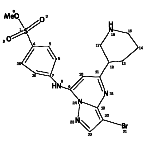 COS(=O)(=O)c1ccc(Nc2cc(C3CCCNC3)nc3c(Br)cnn23)cc1